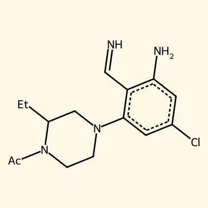 CCC1CN(c2cc(Cl)cc(N)c2C=N)CCN1C(C)=O